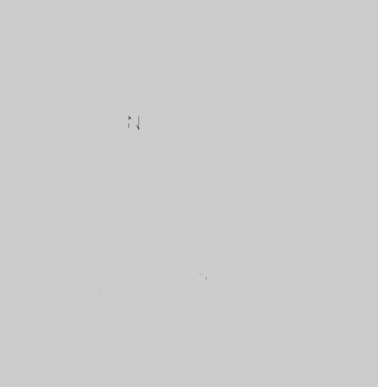 c1ccc2c(c1)ncc1ccsc12